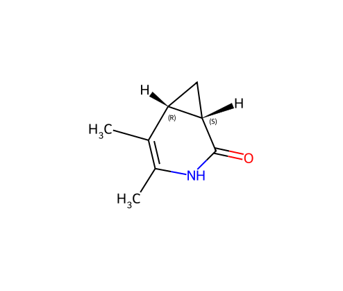 CC1=C(C)[C@@H]2C[C@@H]2C(=O)N1